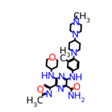 Cc1nc(-c2nc(C(N)=O)c(Nc3ccc(N4CCC(N5CCN(C)CC5)CC4)c(C)c3)nc2NC2CCOCC2)co1